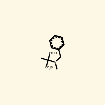 CCOC(=O)C(C)(C(=O)OCC)N(C)Cc1ccccc1